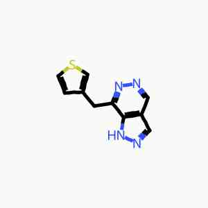 c1cc(Cc2nncc3cn[nH]c23)cs1